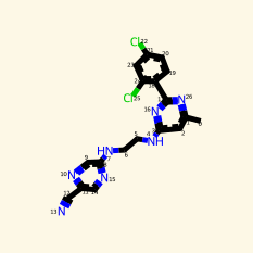 Cc1cc(NCCNc2cnc(C#N)cn2)nc(-c2ccc(Cl)cc2Cl)n1